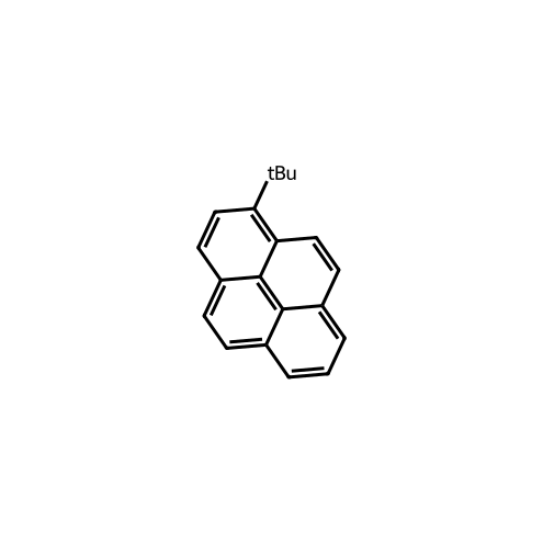 CC(C)(C)c1ccc2ccc3cccc4ccc1c2c34